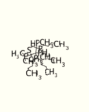 CCCCP(CCCC)C1(PC)CSC(C)(P(C)C)C1(PC)P(CCCC)CCCC